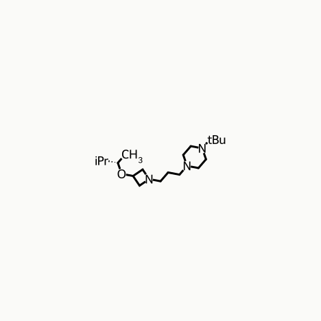 CC(C)[C@H](C)OC1CN(CCCN2CCN(C(C)(C)C)CC2)C1